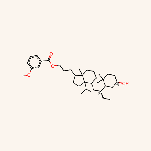 CC[C@@H](CC1CCCC2(C)C(CCCOC(=O)c3cccc(OC)c3)CCC12C(C)C)C1C[C@H](O)CCC1(C)C